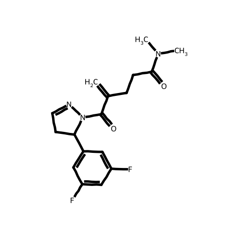 C=C(CCC(=O)N(C)C)C(=O)N1N=CCC1c1cc(F)cc(F)c1